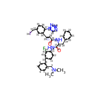 CN(C)Cc1ccccc1-c1ccc(NC(=O)[C@H](Cc2ccccc2)NC(=O)/C=C/c2cc(CI)ccc2-n2cnnn2)c(F)c1